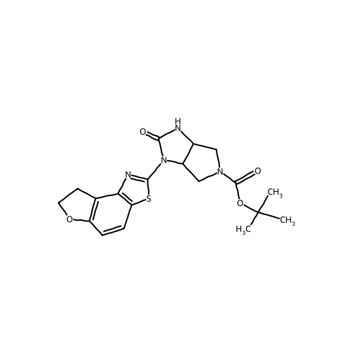 CC(C)(C)OC(=O)N1CC2NC(=O)N(c3nc4c5c(ccc4s3)OCC5)C2C1